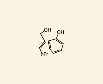 CCC/C=C/CO.Oc1ccccc1